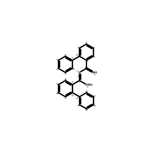 CN/C(=N\C(=N)c1ccccc1-c1ccccc1)c1ccccc1-c1ccccc1